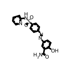 NC(=O)c1cc(N=Nc2ccc(S(=O)(=O)Nc3ccccn3)cc2)ccc1O